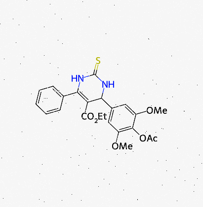 CCOC(=O)C1=C(c2ccccc2)NC(=S)NC1c1cc(OC)c(OC(C)=O)c(OC)c1